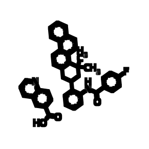 CC1(C)CC(c2ccccc2NC(=O)c2ccc(F)cc2)Cc2ccc3c(ccc4ccccc43)c21.O=C(O)c1ccc2ncccc2c1